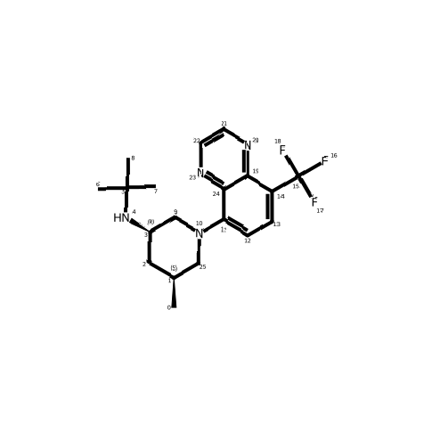 C[C@H]1C[C@@H](NC(C)(C)C)CN(c2ccc(C(F)(F)F)c3nccnc23)C1